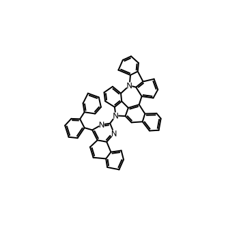 c1ccc(-c2ccccc2-c2nc(-n3c4cc5ccccc5c5c6cccc7c8ccccc8n(c8cccc3c8c54)c76)nc3c2ccc2ccccc23)cc1